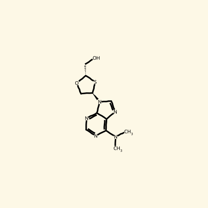 CN(C)c1ncnc2c1ncn2[C@H]1CO[C@H](CO)S1